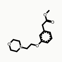 COC(=O)Cc1cccc(OCCN2CCOCC2)c1